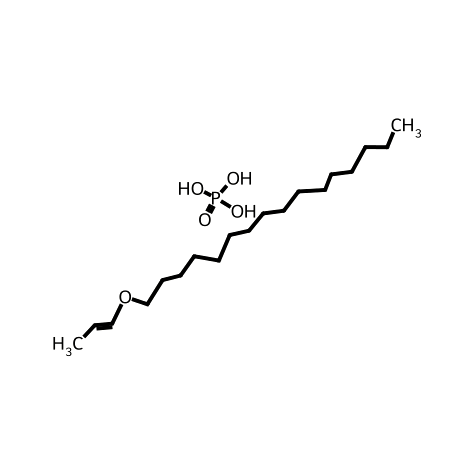 C/C=C/OCCCCCCCCCCCCCCCC.O=P(O)(O)O